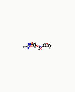 Cc1oc(-c2ccc(Oc3ccccc3)cc2)nc1COc1ccc(S(=O)(=O)Nc2nnc(C(C)C)s2)cc1